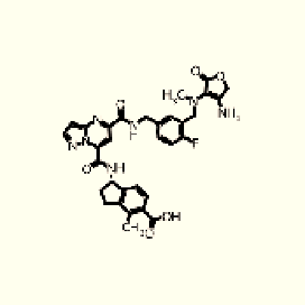 Cc1c(C(=O)O)ccc2c1CC[C@@H]2NC(=O)c1cc(C(=O)NCc2ccc(F)c(CN(C)C3=C(N)COC3=O)c2)nc2ccnn12